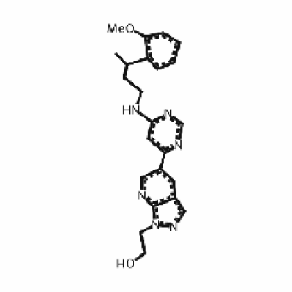 COc1ccccc1C(C)CCNc1cc(-c2cnc3c(cnn3CCO)c2)ncn1